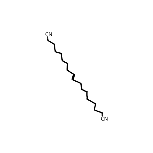 N#CCCCCCCC/C=C/CCCCCCCC#N